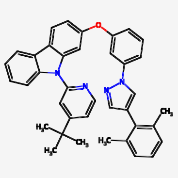 Cc1cccc(C)c1-c1cnn(-c2cccc(Oc3ccc4c5ccccc5n(-c5cc(C(C)(C)C)ccn5)c4c3)c2)c1